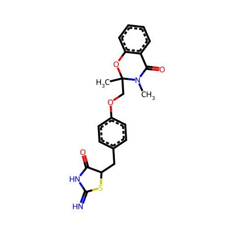 CN1C(=O)c2ccccc2OC1(C)COc1ccc(CC2SC(=N)NC2=O)cc1